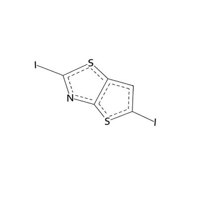 Ic1cc2sc(I)nc2s1